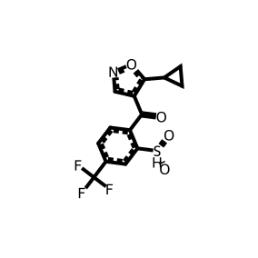 O=C(c1ccc(C(F)(F)F)cc1[SH](=O)=O)c1cnoc1C1CC1